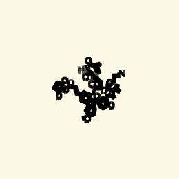 COc1ccc(C(OC[C@H]2O[C@@H](n3cc(C)c(=O)[nH]c3=O)C[C@H]2OP(OCCC#N)N(C(C)C)C(C)C)(c2ccc(CCC(=O)ON3C(=O)CCC3=O)cc2)c2ccc(OC)cc2)cc1